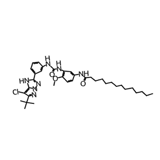 CCCCCCCCCCCCCC(=O)Nc1ccc(OC)c(NC(=O)Nc2cccc(-c3nn4nc(C(C)(C)C)c(Cl)c4[nH]3)c2)c1